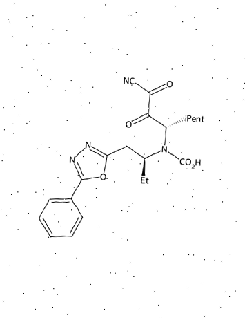 CCCC(C)[C@@H](C(=O)C(=O)C#N)N(C(=O)O)[C@@H](CC)Cc1nnc(-c2ccccc2)o1